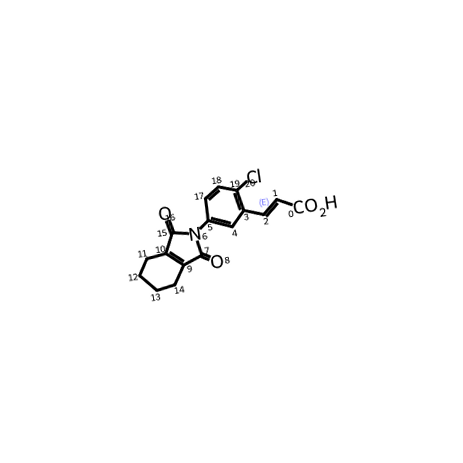 O=C(O)/C=C/c1cc(N2C(=O)C3=C(CCCC3)C2=O)ccc1Cl